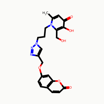 Cc1cc(=O)c(O)c(CO)n1CCCn1cc(COc2ccc3ccc(=O)oc3c2)nn1